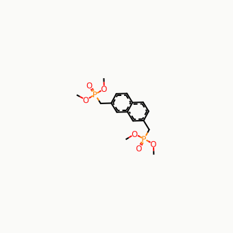 COP(=O)(Cc1ccc2ccc(CP(=O)(OC)OC)cc2c1)OC